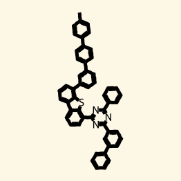 Cc1ccc(-c2ccc(-c3cccc(-c4cccc5c4sc4c(-c6nc(-c7ccccc7)nc(-c7cccc(-c8ccccc8)c7)n6)cccc45)c3)cc2)cc1